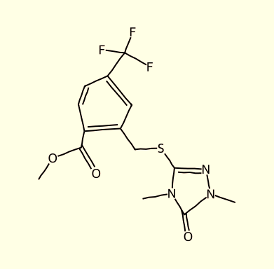 COC(=O)c1ccc(C(F)(F)F)cc1CSc1nn(C)c(=O)n1C